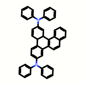 C1=CC2c3ccc(N(c4ccccc4)c4ccccc4)cc3-c3ccc4ccccc4c3C2C=C1N(c1ccccc1)c1ccccc1